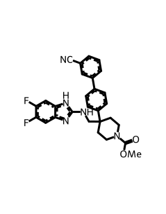 COC(=O)N1CCC(CNc2nc3cc(F)c(F)cc3[nH]2)(c2ccc(-c3cccc(C#N)c3)cc2)CC1